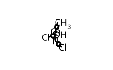 Cc1ccc(C(=O)Oc2cc(Cl)cc(C=Nc3ccc(Cl)cc3)c2O)cc1